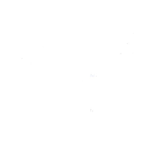 COc1c(CC(NC(=O)c2cccnc2)B2OC3CC4CC(C4(C)C)C3(C)O2)cccc1C(=O)OC(C)(C)C